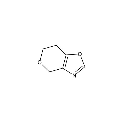 c1nc2c(o1)CCOC2